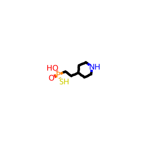 O=P(O)(S)CCC1CCNCC1